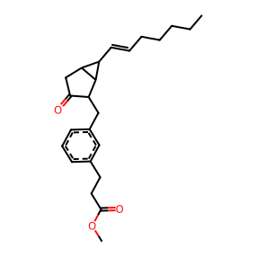 CCCCCC=CC1C2CC(=O)C(Cc3cccc(CCC(=O)OC)c3)C12